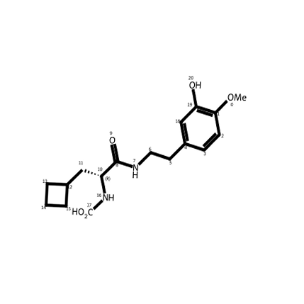 COc1ccc(CCNC(=O)[C@@H](CC2CCC2)NC(=O)O)cc1O